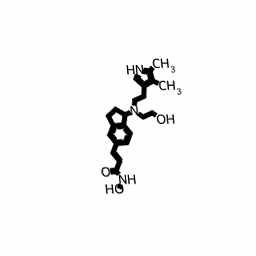 Cc1[nH]cc(CCN(CCO)C2CCc3cc(/C=C/C(=O)NO)ccc32)c1C